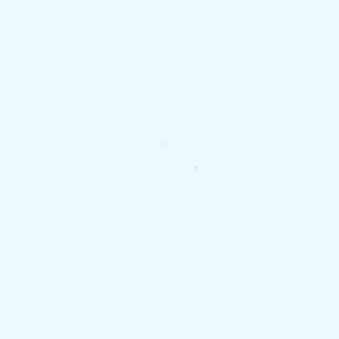 C[C@@H](Cc1ccccc1)[C@@H](O)C[C@H](Cc1ccccc1)/N=C\B=O